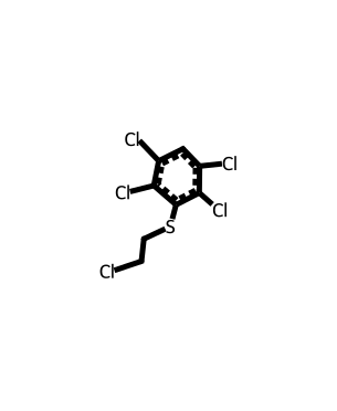 ClCCSc1c(Cl)c(Cl)cc(Cl)c1Cl